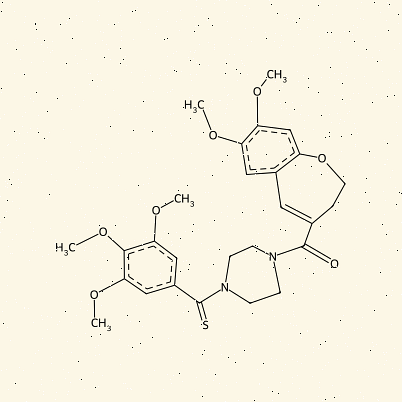 COc1cc2c(cc1OC)OCCC(C(=O)N1CCN(C(=S)c3cc(OC)c(OC)c(OC)c3)CC1)=C2